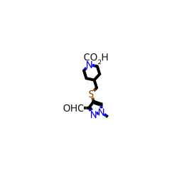 Cn1cc(SCC2CCN(C(=O)O)CC2)c(C=O)n1